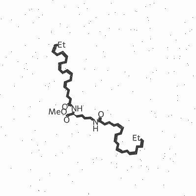 CC/C=C\C/C=C\C/C=C\C/C=C\C/C=C\CCCC(=O)NCCCC[C@H](NC(=O)CCC/C=C\C/C=C\C/C=C\C/C=C\C/C=C\CC)C(=O)OC